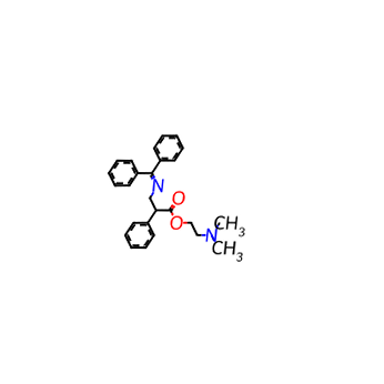 CN(C)CCOC(=O)C(CN=C(c1ccccc1)c1ccccc1)c1ccccc1